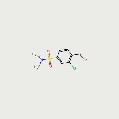 CN(C)S(=O)(=O)c1ccc(CBr)c(Cl)c1